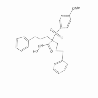 COc1ccc(S(=O)(=O)C(CCCc2ccccc2)(CCCc2ccccc2)C(=O)NO)cc1